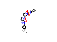 N#CC1CN(S(=O)(=O)N2CCC[C@H](C(=O)N3CCC[C@@H]3C(=O)NCc3ccc(C(F)(F)F)cc3)C2)C1